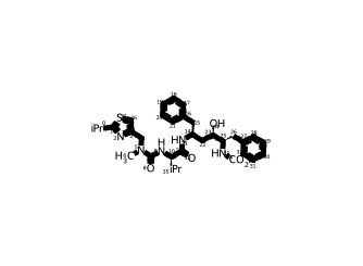 CC(C)c1nc(CN(C)C(=O)N[C@H](C(=O)N[C@@H](Cc2ccccc2)C[C@H](O)[C@H](Cc2ccccc2)NC(=O)O)C(C)C)cs1